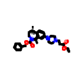 CCOC(=O)CCN1CCN(c2ccc3c(c2)[C@@H](C)N(C(=O)OCc2ccccc2)CC[C@@H]3C)CC1